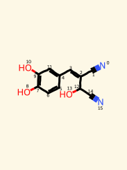 N#CC(=Cc1ccc(O)c(O)c1)C(O)C#N